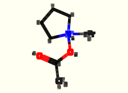 CCC[N+]1(OC(=O)C(F)(F)F)CCCC1